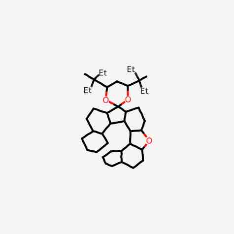 CCC(C)(CC)C1CC(C(C)(CC)CC)OC2(O1)C1CCC3CCCCC3C1C1C3C(CCC12)OC1CCC2CCCCC2C13